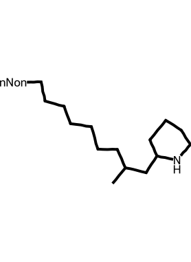 CCCCCCCCCCCCCCCCC(C)CC1CCCCN1